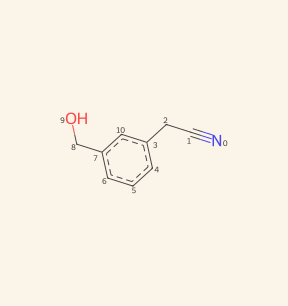 N#CCc1cccc(CO)c1